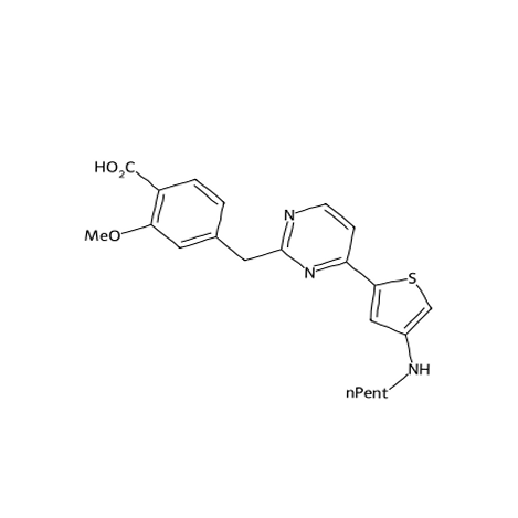 CCCCCNc1csc(-c2ccnc(Cc3ccc(C(=O)O)c(OC)c3)n2)c1